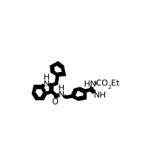 CCOC(=O)NC(=N)c1ccc(CNC(=O)c2c(Cc3ccccc3)[nH]c3ccccc23)cc1